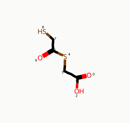 O=C(O)CSC(=O)CS